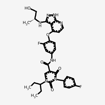 CCC(CC)n1cc(C(=O)Nc2ccc(Oc3ccnc4[nH]nc(N[C@H](C)CO)c34)c(F)c2)c(=O)n(-c2ccc(F)cc2)c1=O